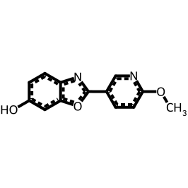 COc1ccc(-c2nc3ccc(O)cc3o2)cn1